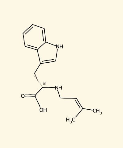 CC(C)=CCN[C@@H](Cc1c[nH]c2ccccc12)C(=O)O